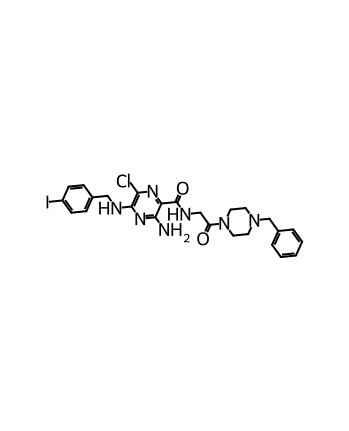 Nc1nc(NCc2ccc(I)cc2)c(Cl)nc1C(=O)NCC(=O)N1CCN(Cc2ccccc2)CC1